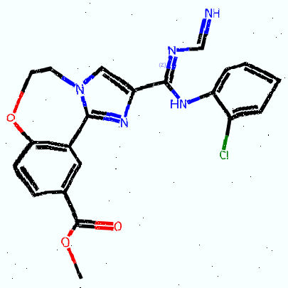 COC(=O)c1ccc2c(c1)-c1nc(/C(=N/C=N)Nc3ccccc3Cl)cn1CCO2